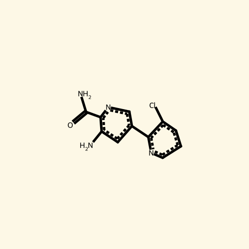 NC(=O)c1ncc(-c2ncccc2Cl)cc1N